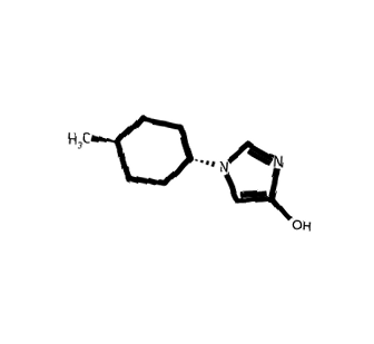 C[C@H]1CC[C@H](n2cnc(O)c2)CC1